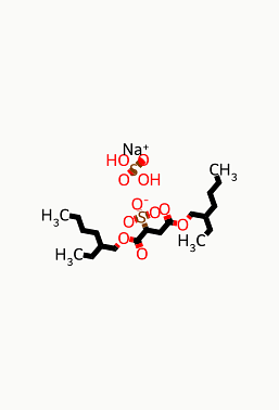 CCCCC(CC)COC(=O)CC(C(=O)OCC(CC)CCCC)S(=O)(=O)[O-].O=S(=O)(O)O.[Na+]